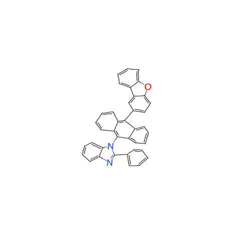 c1ccc(-c2nc3ccccc3n2-c2c3ccccc3c(-c3ccc4oc5ccccc5c4c3)c3ccccc23)cc1